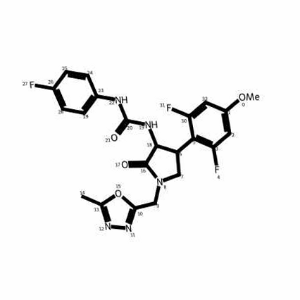 COc1cc(F)c(C2CN(Cc3nnc(C)o3)C(=O)C2NC(=O)Nc2ccc(F)cc2)c(F)c1